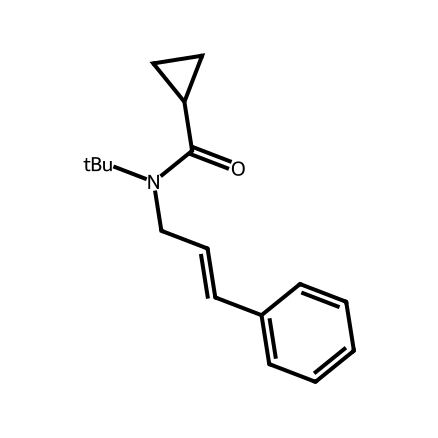 CC(C)(C)N(C/C=C/c1ccccc1)C(=O)C1CC1